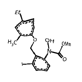 CCc1ccc(OCc2c(I)cccc2N(O)C(=O)OC)c(C)c1